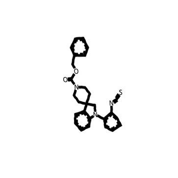 O=C(OCc1ccccc1)N1CCC2(CC1)CN(c1ccccc1N=C=S)c1ccccc12